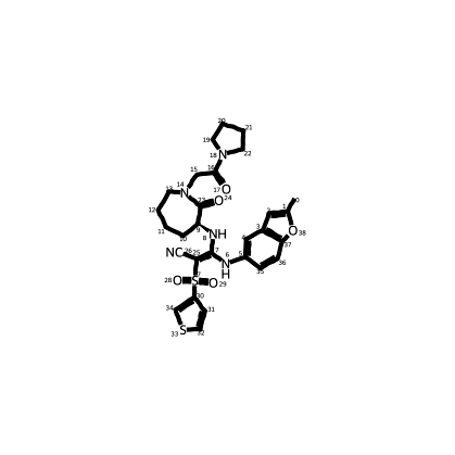 Cc1cc2cc(NC(N[C@H]3CCCCN(CC(=O)N4CCCC4)C3=O)=C(C#N)S(=O)(=O)c3ccsc3)ccc2o1